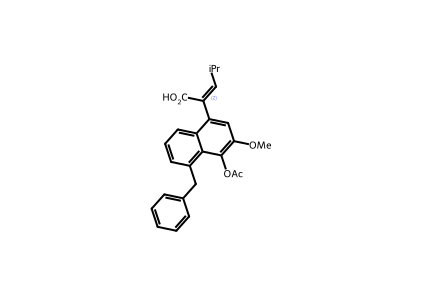 COc1cc(/C(=C/C(C)C)C(=O)O)c2cccc(Cc3ccccc3)c2c1OC(C)=O